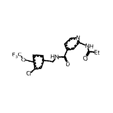 CCC(=O)Nc1cc(C(=O)NCc2ccc(OC(F)(F)F)c(Cl)c2)ccn1